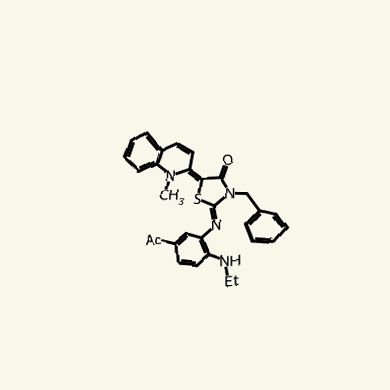 CCNc1ccc(C(C)=O)cc1N=C1SC(=C2C=Cc3ccccc3N2C)C(=O)N1Cc1ccccc1